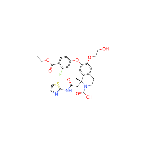 CCOC(=O)c1ccc(Oc2cc3c(cc2OCCO)CCN(C(=O)O)[C@]3(C)CC(=O)Nc2nccs2)cc1F